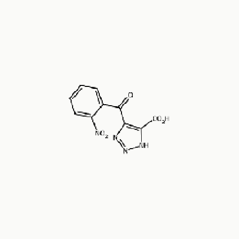 O=C(c1ccccc1[N+](=O)[O-])c1nn[nH]c1C(=O)O